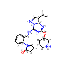 CC(C)c1cnn2c(NCc3ccccc3N3CCCC3=O)nc(O[C@@H]3CCCNC3)nc12